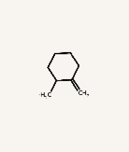 [CH2]C1CCCCC1=C